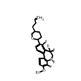 C=CCCC1CCC(c2ccc3c(c2F)C(F)(F)CN(F)c2c-3ccc(OCC)c2F)OC1